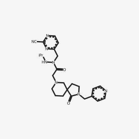 CC(C)NN(Cc1ccnc(C#N)n1)C(=O)CN1CCCC2(CCN(Cc3ccncc3)C2=O)C1